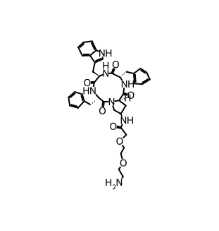 NCCOCCOCC(=O)N[C@@H]1C[C@@H]2C(=O)N[C@@H](Cc3ccccc3)C(=O)N[C@H](Cc3c[nH]c4ccccc34)C(=O)N[C@@H](Cc3ccccc3)C(=O)N2C1